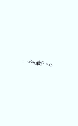 Cc1ccc(OCCOc2ccc3c(c2)CC[C@@H]2[C@@H]3CC[C@]3(C)[C@@H](OCCCOC(C(F)(F)F)(C(F)(F)F)C(F)(F)F)CC[C@@H]23)cc1